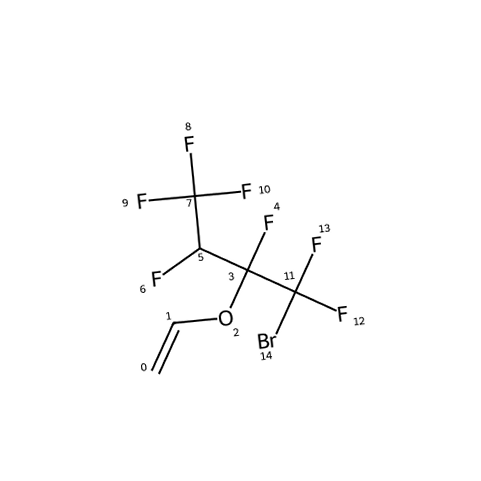 C=COC(F)(C(F)C(F)(F)F)C(F)(F)Br